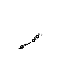 Bc1ccc(S(=O)(=O)c2ccc(OCCCCCCOC3=CC=C(C=C)CC3)cc2)cc1